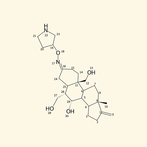 C=C1CCC2C3C(CC[C@]12C)[C@@]1(CO)CCC(=NOC2CCNC2)CC1[C@@H](CO)[C@H]3O